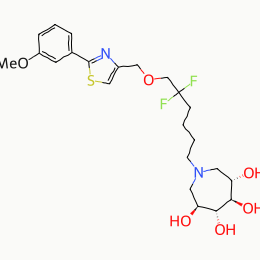 COc1cccc(-c2nc(COCC(F)(F)CCCCN3C[C@H](O)[C@@H](O)[C@H](O)[C@@H](O)C3)cs2)c1